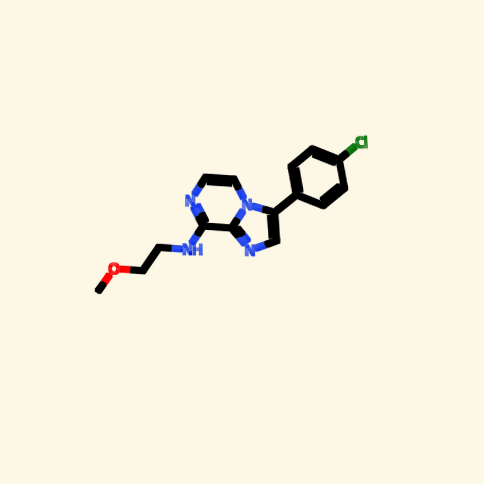 COCCNc1nccn2c(-c3ccc(Cl)cc3)cnc12